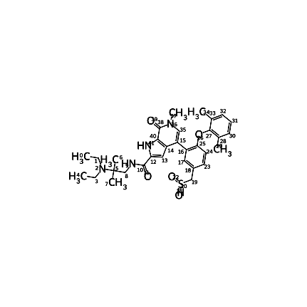 CCN(CC)C(C)(C)CNC(=O)c1cc2c(-c3cc(C[SH](=O)=O)ccc3Oc3c(C)cccc3C)cn(C)c(=O)c2[nH]1